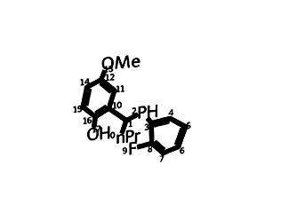 CCCC(Pc1ccccc1F)c1cc(OC)ccc1O